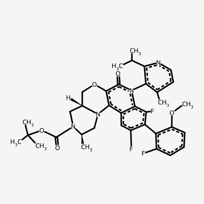 COc1cccc(F)c1-c1c(F)cc2c3c(c(=O)n(-c4c(C)ccnc4C(C)C)c2c1F)OC[C@H]1CN(C(=O)OC(C)(C)C)[C@H](C)CN31